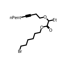 CCCCCC#CCCOC(CC)C(=O)OCCCCCCBr